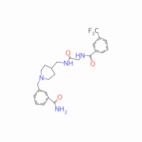 NC(=O)c1cccc(CN2CCC(CNC(=O)CNC(=O)c3cccc(C(F)(F)F)c3)CC2)c1